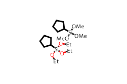 CCO[Si](OCC)(OCC)C1CCCC1.CO[Si](OC)(OC)C1CCCC1